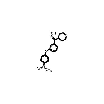 CC(=O)N(C)c1ccc(Sc2cccc(C(=NO)C3CCOCC3)c2)cc1